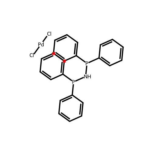 [Cl][Pd][Cl].c1ccc(P(NP(c2ccccc2)c2ccccc2)c2ccccc2)cc1